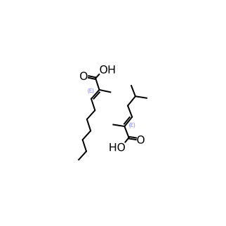 C/C(=C\CC(C)C)C(=O)O.CCCCCC/C=C(\C)C(=O)O